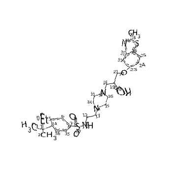 CCC(C)(C)c1ccc(S(=O)(=O)NCCN2CCN(CC(O)COc3ccc4sc(C)nc4c3)CC2)cc1